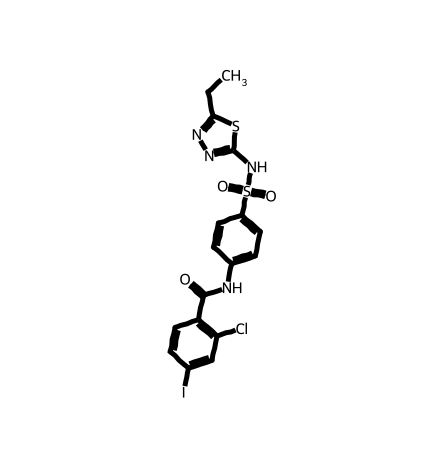 CCc1nnc(NS(=O)(=O)c2ccc(NC(=O)c3ccc(I)cc3Cl)cc2)s1